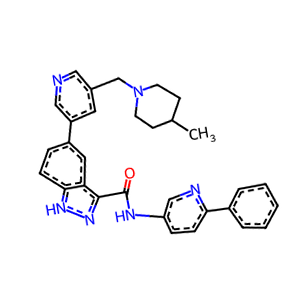 CC1CCN(Cc2cncc(-c3ccc4[nH]nc(C(=O)Nc5ccc(-c6ccccc6)nc5)c4c3)c2)CC1